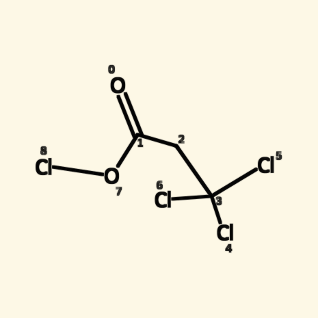 O=C(CC(Cl)(Cl)Cl)OCl